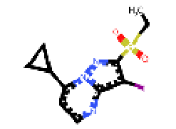 CCS(=O)(=O)c1nn2c(C3CC3)ccnc2c1I